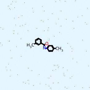 Cc1cccc(-c2nc3ccc(C)cc3o2)c1